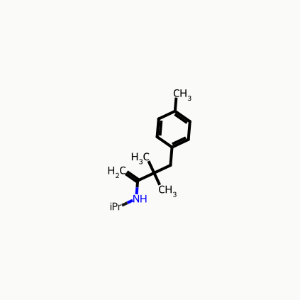 C=C(NC(C)C)C(C)(C)Cc1ccc(C)cc1